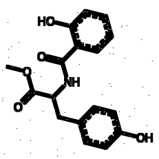 COC(=O)C(Cc1ccc(O)cc1)NC(=O)c1ccccc1O